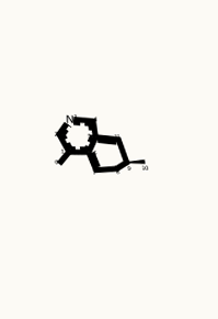 Cc1cncc2c1=CC[C@H](C)C=2